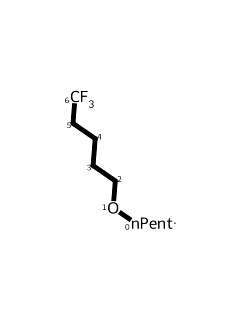 CCCC[CH]OCCCCC(F)(F)F